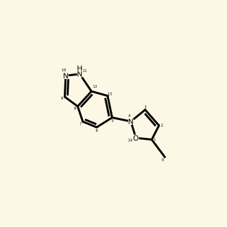 CC1C=CN(c2ccc3cn[nH]c3c2)O1